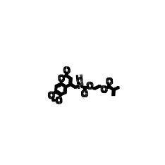 C=C(C)C(=O)OCCOC(=O)NCc1cc(=O)oc2cc3c(cc12)OCO3